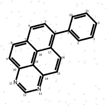 c1ccc(-c2ccc3ccc4ncnc5ccc2c3c45)cc1